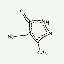 Cc1n[nH]c(=O)n1O